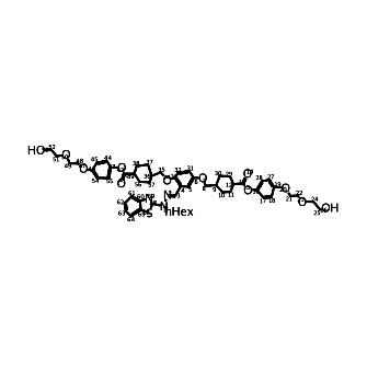 CCCCCCN(/N=C/c1cc(OCC2CCC(C(=O)Oc3ccc(OCCOCCO)cc3)CC2)ccc1OCC1CCC(C(=O)Oc2ccc(OCCOCCO)cc2)CC1)c1nc2ccccc2s1